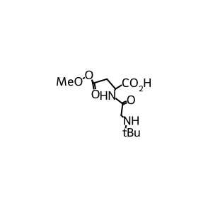 COOC(=O)CC(NC(=O)CNC(C)(C)C)C(=O)O